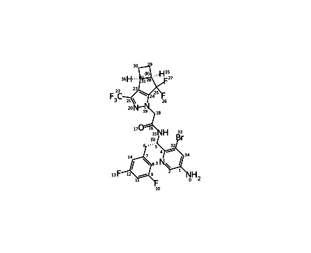 Nc1cnc([C@H](Cc2cc(F)cc(F)c2)NC(=O)Cn2nc(C(F)(F)F)c3c2C(F)(F)[C@@H]2CC[C@H]32)c(Br)c1